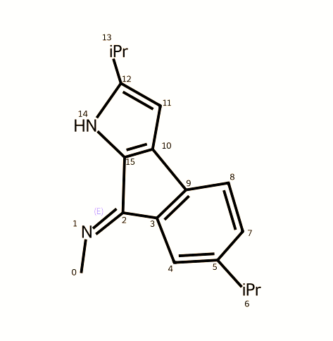 C/N=C1\c2cc(C(C)C)ccc2-c2cc(C(C)C)[nH]c21